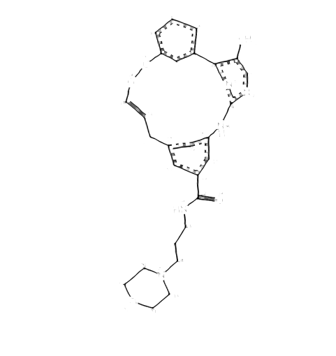 Cc1cnc2nc1-c1cccc(c1)CO/C=C/Cc1cc(cc(C(=O)NCCCN3CCOCC3)c1)N2